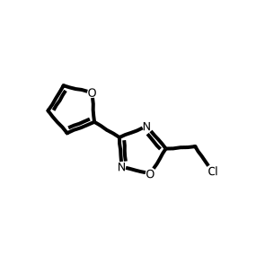 ClCc1nc(-c2ccco2)no1